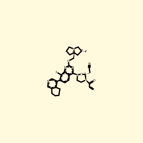 C=CC(=O)N1CCN(c2nc(OC[C@@]34CCCN3C[C@H](F)C4)nc3c(F)c(-c4cncc5c4CCCC5)ccc23)C[C@@H]1CC#N